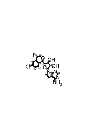 Nc1ncnc2c1ccn2[C@@H]1O[C@H]([C@@H]2OC[C@@H](F)c3cc(Cl)ccc32)[C@@H](O)[C@H]1O